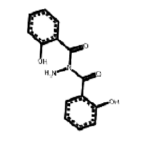 NN(C(=O)c1ccccc1O)C(=O)c1ccccc1O